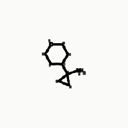 NC1(C2CCOCC2)CC1